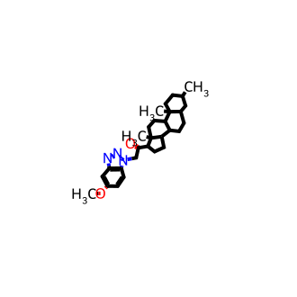 COc1ccc2c(c1)nnn2CC(=O)C1CCC2C3CCC4CC(C)CCC4(C)C3CCC12C